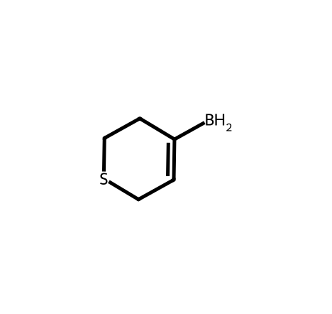 BC1=CCSCC1